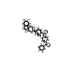 O=C(c1ccccc1)N1CCN(C(=O)c2ccc(N3CCC4(C=Cc5ccccc54)CC3)nn2)CC1